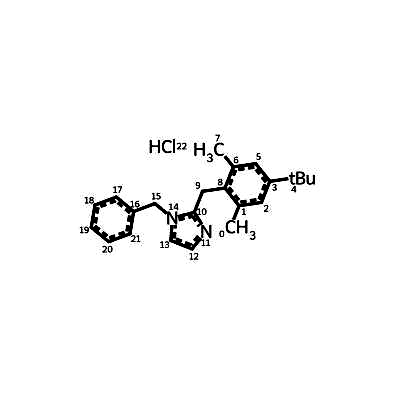 Cc1cc(C(C)(C)C)cc(C)c1Cc1nccn1Cc1ccccc1.Cl